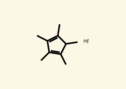 C[C]1C(C)=C(C)C(C)=C1C.[Hf]